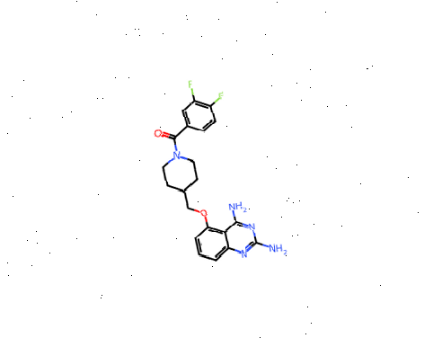 Nc1nc(N)c2c(OCC3CCN(C(=O)c4ccc(F)c(F)c4)CC3)cccc2n1